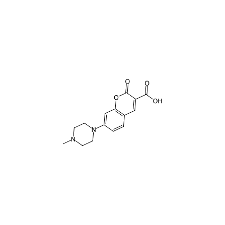 CN1CCN(c2ccc3cc(C(=O)O)c(=O)oc3c2)CC1